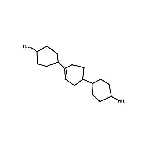 CC1CCC(C2=CCC(C3CCC(N)CC3)CC2)CC1